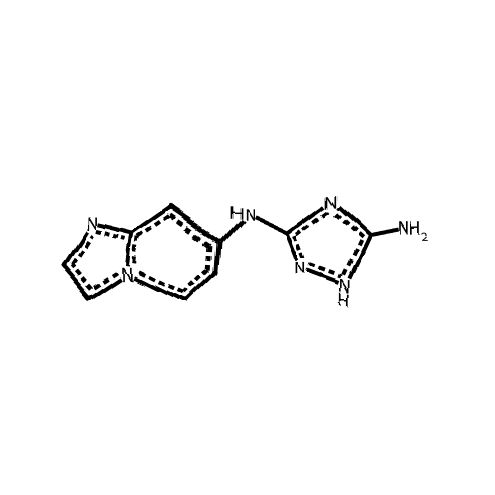 Nc1nc(Nc2ccn3ccnc3c2)n[nH]1